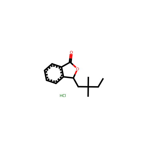 CCC(C)(C)CC1OC(=O)c2ccccc21.Cl